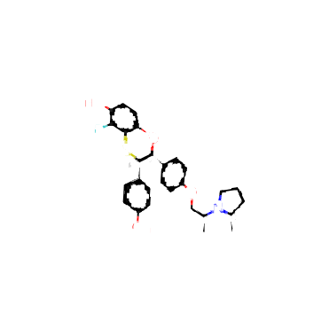 C[C@@H]1CCCN1[C@@H](C)COc1ccc([C@@H]2Oc3ccc(O)c(F)c3S[C@@H]2c2ccc(O)cc2)cc1